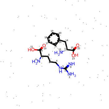 N=C(N)NCCC[C@@H](N)C(=O)O.N[C@H](Cc1ccccc1)C(=O)O